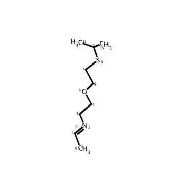 C/C=N/CCOCCSC(C)C